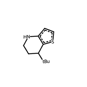 CC(C)(C)C1CCNc2ccsc21